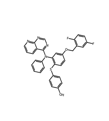 Oc1ccc(Sc2ccc(OCc3cc(F)ccc3F)cc2N(c2ccccc2)c2ncnc3ncccc23)cc1